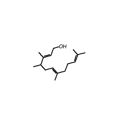 CC(C)=CCCC(C)=CCC(C)C(C)=CCO